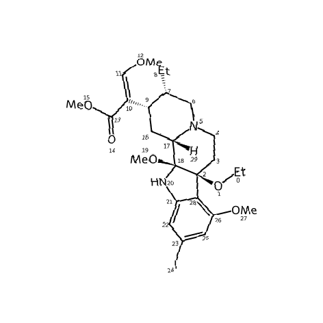 CCO[C@]12CCN3C[C@@H](CC)[C@@H](/C(=C\OC)C(=O)OC)C[C@H]3[C@@]1(OC)Nc1cc(I)cc(OC)c12